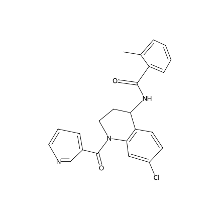 Cc1ccccc1C(=O)NC1CCN(C(=O)c2cccnc2)c2cc(Cl)ccc21